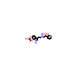 C[C@@H](Oc1cccc2c(CCNC[C@H](O)c3cccnc3)c[nH]c12)C(=O)O